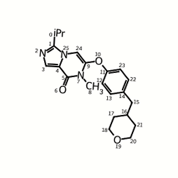 CC(C)c1ncc2c(=O)n(C)c(Oc3ccc(CC4CCOCC4)cc3)cn12